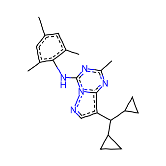 Cc1cc(C)c(Nc2nc(C)nc3c(C(C4CC4)C4CC4)cnn23)c(C)c1